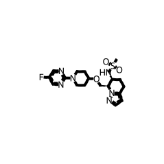 CS(=O)(=O)N[C@H]1CCc2ccnn2[C@H]1COC1CCN(c2ncc(F)cn2)CC1